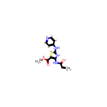 C=CC(=O)Nc1nc(Nc2ccncc2)sc1C(=O)OC